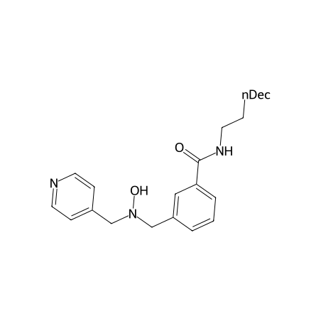 CCCCCCCCCCCCNC(=O)c1cccc(CN(O)Cc2ccncc2)c1